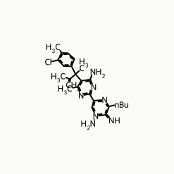 C=C(C)C(C)(c1ccc(C)c(Cl)c1)c1c(C)nc(-c2cn(N)c(=N)c(CCCC)n2)nc1N